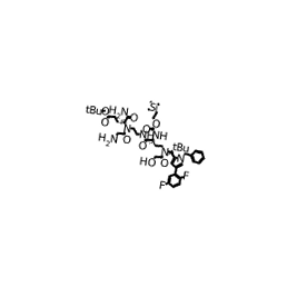 CC(C)(C)OC(=O)CC[C@H](C(N)=O)N(CCNC(=O)[C@H](CCN(C(=O)CO)[C@@H](c1cc(-c2cc(F)ccc2F)cn1Cc1ccccc1)C(C)(C)C)NC(=O)OCC[Si](C)(C)C)C(=O)CN